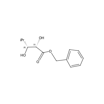 CC(C)[C@@H](O)[C@H](O)C(=O)OCc1ccccc1